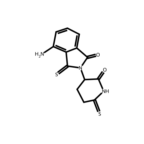 Nc1cccc2c1C(=S)N(C1CCC(=S)NC1=O)C2=O